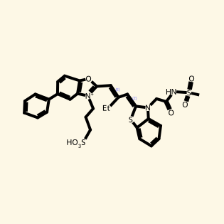 CCC(/C=C1\Sc2ccccc2N1CC(=O)NS(C)(=O)=O)=C\c1oc2ccc(-c3ccccc3)cc2[n+]1CCCS(=O)(=O)O